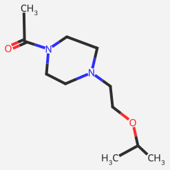 CC(=O)N1CCN(CCOC(C)C)CC1